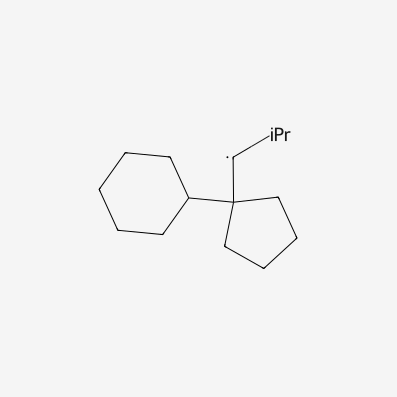 CC(C)[CH]C1(C2CCCCC2)CCCC1